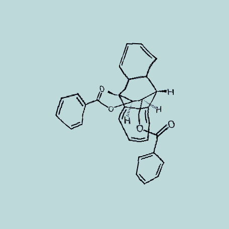 C[C@@]12c3ccccc3[C@@H](C3C=CC=CC31)[C@@H](OC(=O)c1ccccc1)[C@H]2OC(=O)c1ccccc1